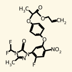 C=CCOC(=O)C(C)Oc1ccc(Oc2cc(-n3nc(C)n(C(F)F)c3=O)c(F)cc2[N+](=O)[O-])cc1